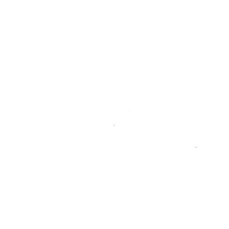 CCCCOc1cc(CC(C)C)ccc1-c1cccc(F)c1